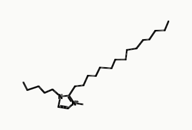 CCCCCCCCCCCCCCCc1n(CCCCC)cc[n+]1C